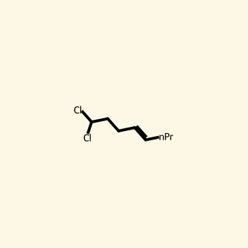 CCCC=CCCC(Cl)Cl